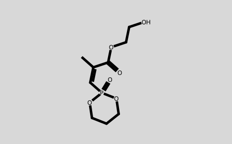 CC(=CP1(=O)OCCCO1)C(=O)OCCO